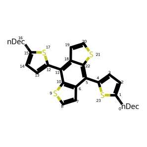 CCCCCCCCCCc1ccc(-c2c3ccsc3c(-c3ccc(CCCCCCCCCC)s3)c3ccsc23)s1